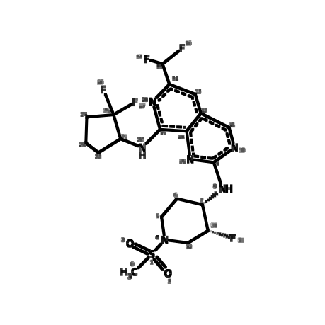 CS(=O)(=O)N1CC[C@H](Nc2ncc3cc(C(F)F)nc(NC4CCCC4(F)F)c3n2)[C@H](F)C1